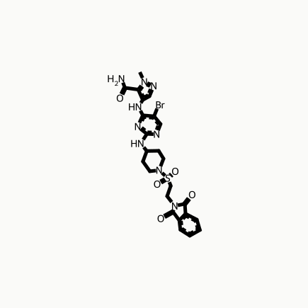 Cn1ncc(Nc2nc(NC3CCN(S(=O)(=O)CCN4C(=O)c5ccccc5C4=O)CC3)ncc2Br)c1C(N)=O